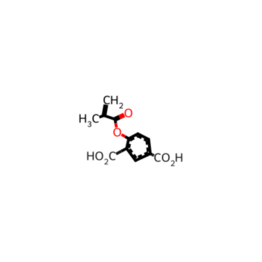 C=C(C)C(=O)Oc1ccc(C(=O)O)cc1C(=O)O